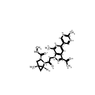 CNC(=O)[C@@H]1C[C@@]2(C)C[C@H]2N1C(=O)Cn1nc(C(C)=O)c2cc(-c3cnc(C)nc3)nc(C)c21